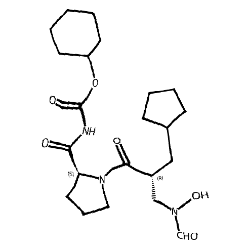 O=CN(O)C[C@@H](CC1CCCC1)C(=O)N1CCC[C@H]1C(=O)NC(=O)OC1CCCCC1